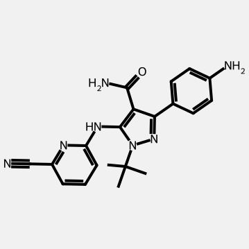 CC(C)(C)n1nc(-c2ccc(N)cc2)c(C(N)=O)c1Nc1cccc(C#N)n1